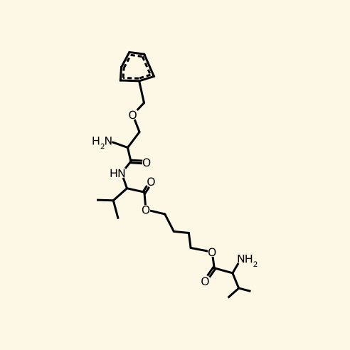 CC(C)C(N)C(=O)OCCCCOC(=O)C(NC(=O)C(N)COCc1ccccc1)C(C)C